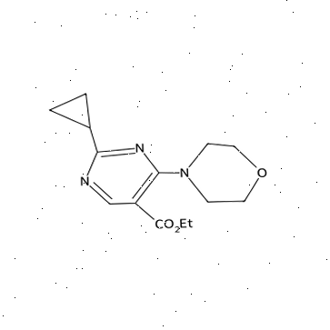 CCOC(=O)c1cnc(C2CC2)nc1N1CCOCC1